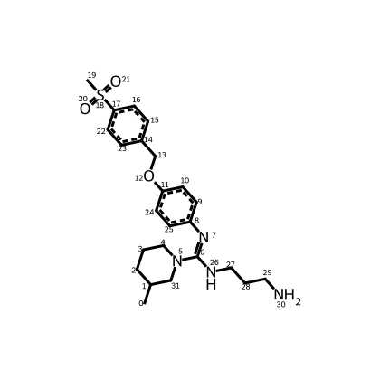 CC1CCCN(/C(=N\c2ccc(OCc3ccc(S(C)(=O)=O)cc3)cc2)NCCCN)C1